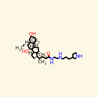 CC[C@H]1[C@@H](O)[C@@H]2[C@H](CC[C@]3(C)[C@@H]([C@H](C)CCC(=O)NCCNCCCC4CCNC4)CC[C@@H]23)[C@@]2(C)CC[C@@H](O)C[C@@H]12